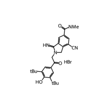 Br.CNC(=O)c1cc(C#N)c2c(c1)C(=N)N(CC(=O)c1cc(C(C)(C)C)c(O)c(C(C)(C)C)c1)C2